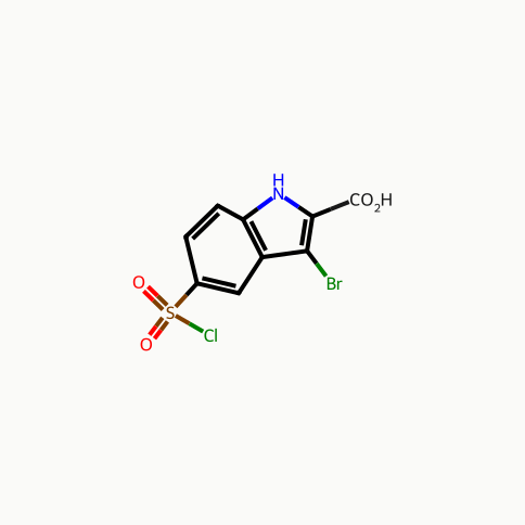 O=C(O)c1[nH]c2ccc(S(=O)(=O)Cl)cc2c1Br